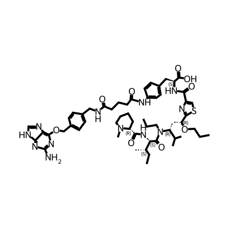 CCCO[C@H](C[C@H](C(C)C)N(CCC)C(=O)[C@@H](NC(=O)[C@H]1CCCCN1C)[C@@H](C)CC)c1nc(C(=O)N[C@@H](Cc2ccc(NC(=O)CCCC(=O)NCc3ccc(COc4nc(N)nc5[nH]cnc45)cc3)cc2)C(=O)O)cs1